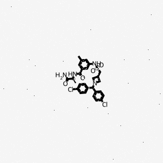 Cc1cc(NS(=O)(=O)CC2CN(C(c3ccc(Cl)cc3)c3ccc(Cl)cc3)C2)cc(C(=O)N[C@@H](C)C(N)=O)c1